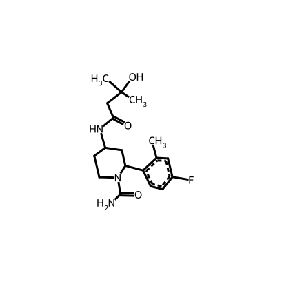 Cc1cc(F)ccc1C1CC(NC(=O)CC(C)(C)O)CCN1C(N)=O